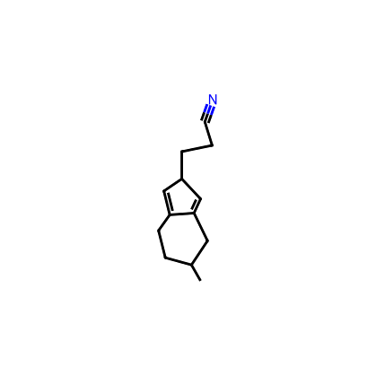 CC1CCC2=CC(CCC#N)C=C2C1